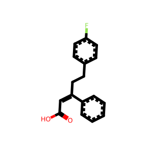 O=C(O)C=C(CCc1ccc(F)cc1)c1ccccc1